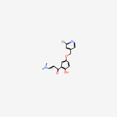 CN(C)/C=C/C(=O)c1cc(OCc2ccnc(Cl)c2)ccc1O